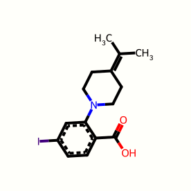 CC(C)=C1CCN(c2cc(I)ccc2C(=O)O)CC1